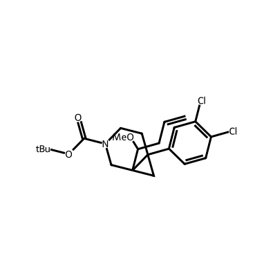 C=CCC(OC)C12CN(C(=O)OC(C)(C)C)CCC1(c1ccc(Cl)c(Cl)c1)C2